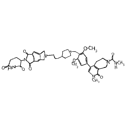 CNC(=O)N1CCc2c(-c3cc(OC)c(CN4CCC(CCN5Cc6cc7c(cc6C5)C(=O)N(C5CCC(=O)NC5=O)C7=O)CC4)c(OC)c3)cn(C)c(=O)c2C1